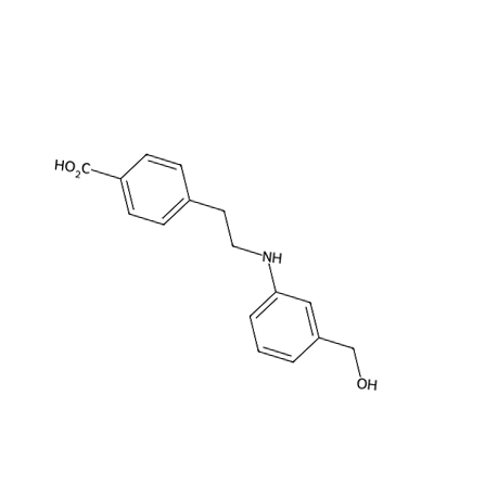 O=C(O)c1ccc(CCNc2cccc(CO)c2)cc1